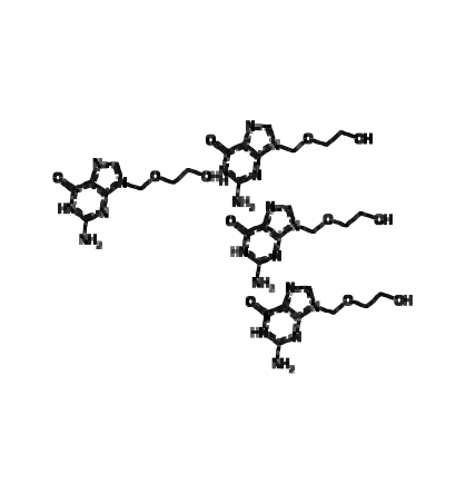 Nc1nc2c(ncn2COCCO)c(=O)[nH]1.Nc1nc2c(ncn2COCCO)c(=O)[nH]1.Nc1nc2c(ncn2COCCO)c(=O)[nH]1.Nc1nc2c(ncn2COCCO)c(=O)[nH]1